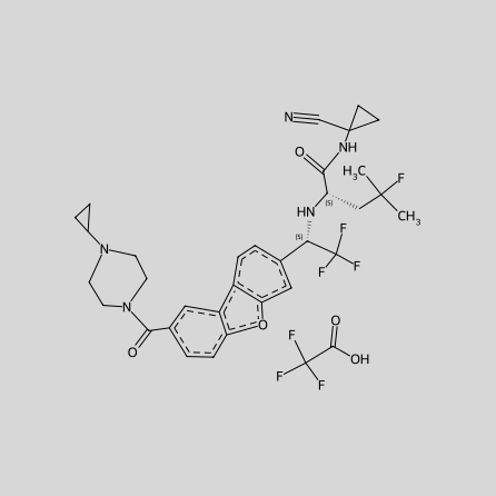 CC(C)(F)C[C@H](N[C@@H](c1ccc2c(c1)oc1ccc(C(=O)N3CCN(C4CC4)CC3)cc12)C(F)(F)F)C(=O)NC1(C#N)CC1.O=C(O)C(F)(F)F